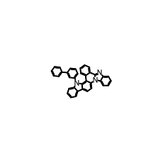 c1ccc(-c2cccc(-n3c4ccccc4c4ccc5c(c6ccccc6c6nc7ccccc7n56)c43)c2)cc1